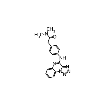 CN(C)C(=O)Cc1ccc(Nc2nc3ccccc3n3nnnc23)cc1